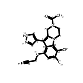 CC(=O)N1CCn2c(c(-c3cn[nH]c3)c3c(OCC#N)cc(Cl)c(Cl)c32)C1